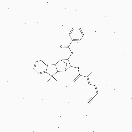 C#C/C=C\C=C(/C)C(=O)OC1C2CC(C1OC(=O)c1ccccc1)C1c3ccccc3C(C)(C)C21